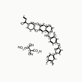 C=CC(=O)N1CCC(Oc2cc3c(Nc4ccc(Oc5ccn(-c6cnc(C)c(F)c6)n5)cc4F)ncnc3cc2OC)CC1.O=C(O)C(O)C(O)C(=O)O